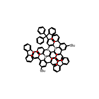 CC(C)(C)c1cc(-c2ccccc2)c(N2c3cc(-n4c5ccccc5c5ccccc54)ccc3B3c4cc5c(cc4N(c4c(-c6ccccc6)cc(C(C)(C)C)cc4-c4ccccc4)c4cc(-n6c7ccccc7c7ccccc76)cc2c43)-c2ccccc2C5(c2ccccc2)c2ccccc2)c(-c2ccccc2)c1